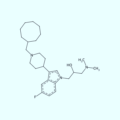 CN(C)CC(O)Cn1cc(C2CCN(CC3CCCCCCC3)CC2)c2cc(F)ccc21